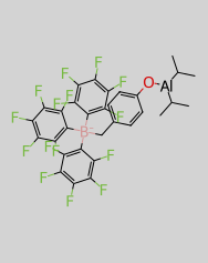 C[CH](C)[Al]([O]c1ccc(C[B-](c2c(F)c(F)c(F)c(F)c2F)(c2c(F)c(F)c(F)c(F)c2F)c2c(F)c(F)c(F)c(F)c2F)cc1)[CH](C)C